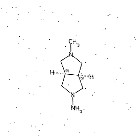 CN1C[C@@H]2CN(N)C[C@@H]2C1